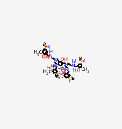 B#P(I)c1cc(C)c(O)c(CNCCN(CCNCc2cc(P(#B)I)cc(C)c2O)Cc2cc(C)cc(CN(CCNCc3cc(P(#B)I)cc(C)c3O)CCNCc3cc(P(#B)I)cc(C)c3O)c2O)c1